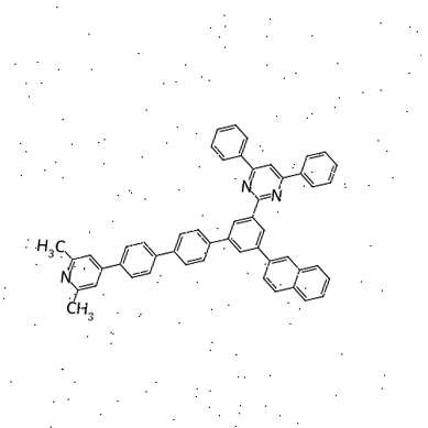 Cc1cc(-c2ccc(-c3ccc(-c4cc(-c5ccc6ccccc6c5)cc(-c5nc(-c6ccccc6)cc(-c6ccccc6)n5)c4)cc3)cc2)cc(C)n1